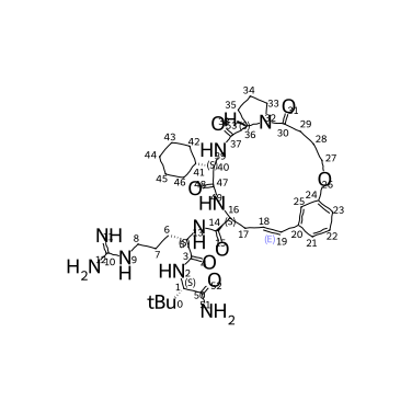 CC(C)(C)[C@H](NC(=O)[C@H](CCCNC(=N)N)NC(=O)[C@@H]1C/C=C/c2cccc(c2)OCCCC(=O)N2CCC[C@H]2C(=O)N[C@@H](C2CCCCC2)C(=O)N1)C(N)=O